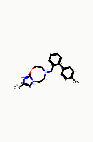 N#Cc1ccc(-c2ccccc2CN2CCOc3nc([N+](=O)[O-])cn3CC2)cc1